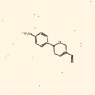 C=CC1=CCC(c2ccc(C(=O)O)cc2)OC1